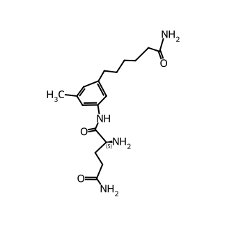 Cc1cc(CCCCCC(N)=O)cc(NC(=O)[C@@H](N)CCC(N)=O)c1